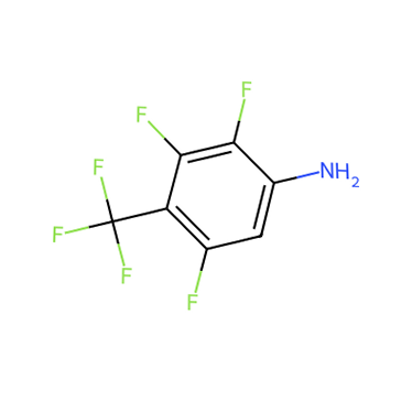 Nc1cc(F)c(C(F)(F)F)c(F)c1F